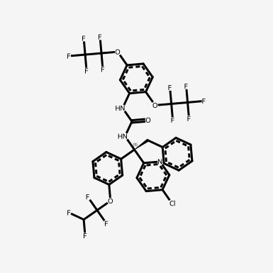 O=C(Nc1cc(OC(F)(F)C(F)(F)F)ccc1OC(F)(F)C(F)(F)F)N[C@@](Cc1ccccc1)(c1cccc(OC(F)(F)C(F)F)c1)c1ccc(Cl)cn1